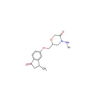 CC(C)NN1CC(COc2ccc3c(c2)C(C)CC3=O)OCC1=O